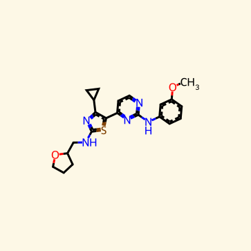 COc1cccc(Nc2nccc(-c3sc(NCC4CCCO4)nc3C3CC3)n2)c1